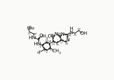 Cc1cc(F)c(NC(=O)NCCC(C)(C)C)cc1-c1cc2cnc(NCCO)nc2nc1C